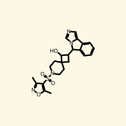 Cc1noc(C)c1S(=O)(=O)N1CCC2(CC1)CC(C1c3ccccc3-c3cncn31)C2O